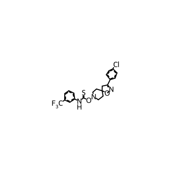 FC(F)(F)c1cccc(NC(=S)ON2CCC3(CC2)CC(c2ccc(Cl)cc2)=NO3)c1